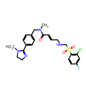 CN(Cc1ccc(C2=NCCN2C(=O)O)cc1)C(=O)C=CCNCS(=O)(=O)c1ccc(F)cc1Cl